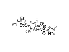 C=CCC(CC)(CC)COc1cc(F)c(C(=O)NS(=O)(=O)c2cn(C)cn2)cc1Cl